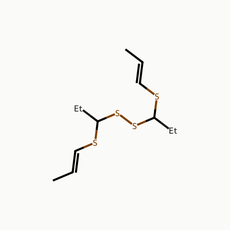 CC=CSC(CC)SSC(CC)SC=CC